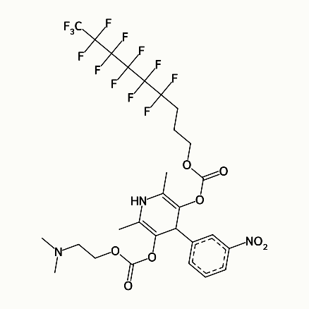 CC1=C(OC(=O)OCCCC(F)(F)C(F)(F)C(F)(F)C(F)(F)C(F)(F)C(F)(F)F)C(c2cccc([N+](=O)[O-])c2)C(OC(=O)OCCN(C)C)=C(C)N1